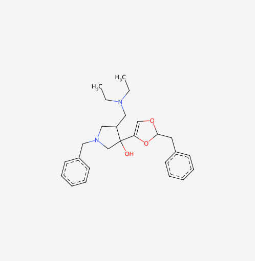 CCN(CC)CC1CN(Cc2ccccc2)CC1(O)C1=COC(Cc2ccccc2)O1